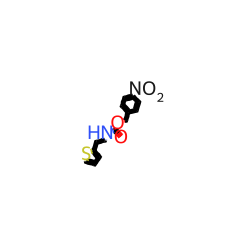 O=C(NCCc1cccs1)OCc1ccc([N+](=O)[O-])cc1